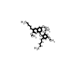 CCCCCc1cc2cc(OC)cc(Oc3c(CCCCC)cc(OC)cc3OC)c2nc1OC